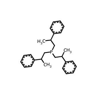 CC(CP(CC(C)c1ccccc1)CC(C)c1ccccc1)c1ccccc1